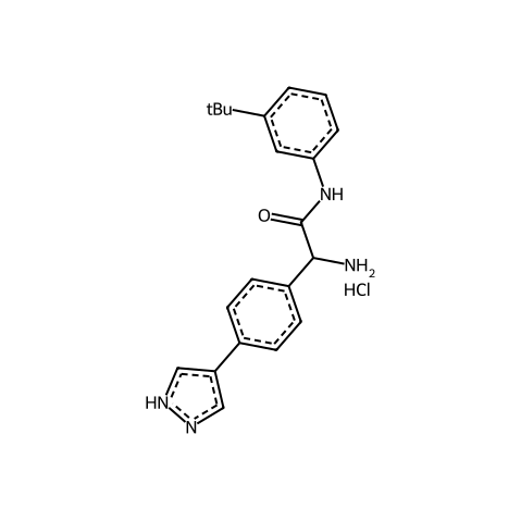 CC(C)(C)c1cccc(NC(=O)C(N)c2ccc(-c3cn[nH]c3)cc2)c1.Cl